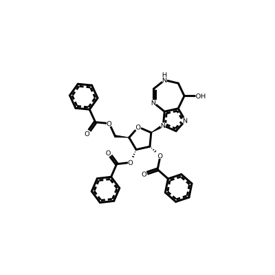 O=C(OC[C@H]1O[C@@H](n2cnc3c2N=CNCC3O)[C@H](OC(=O)c2ccccc2)[C@@H]1OC(=O)c1ccccc1)c1ccccc1